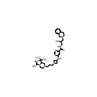 CC(C)(C)C1CN(CCCN2CC(Nc3cc(C(=O)NCC(O)CN4CCc5ccccc5C4)ncn3)C2)CCN1C(=O)O